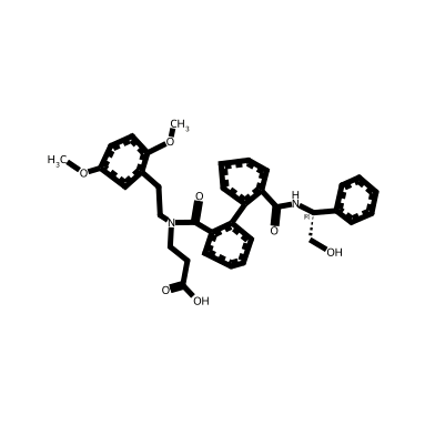 COc1ccc(OC)c(CCN(CCC(=O)O)C(=O)c2ccccc2-c2ccccc2C(=O)N[C@@H](CO)c2ccccc2)c1